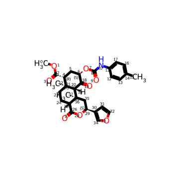 COC(=O)[C@@H]1C[C@H](OC(=O)Nc2ccc(C)cc2)C(=O)[C@H]2[C@@]1(C)CC[C@H]1C(=O)O[C@H](c3ccoc3)C[C@]21C